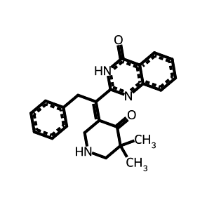 CC1(C)CNCC(=C(Cc2ccccc2)c2nc3ccccc3c(=O)[nH]2)C1=O